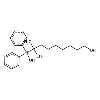 CC(C)(CCCCCCCO)[Si](O)(c1ccccc1)c1ccccc1